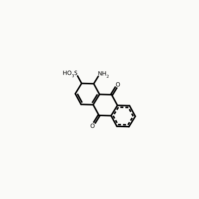 NC1C2=C(C=CC1S(=O)(=O)O)C(=O)c1ccccc1C2=O